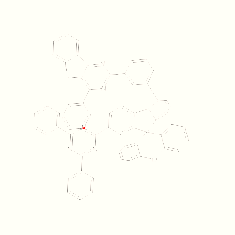 c1ccc(-c2nc(-c3ccccc3)nc(-c3ccc4c(c3)C3(c5ccccc5Oc5ccccc53)c3cccc(-c5cccc(-c6nc(-c7ccccc7)c7sc8ccccc8c7n6)c5)c3-4)n2)cc1